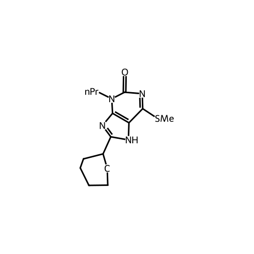 CCCn1c(=O)nc(SC)c2[nH]c(C3CCCCC3)nc21